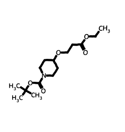 CCOC(=O)CCOC1CCN(C(=O)OC(C)(C)C)CC1